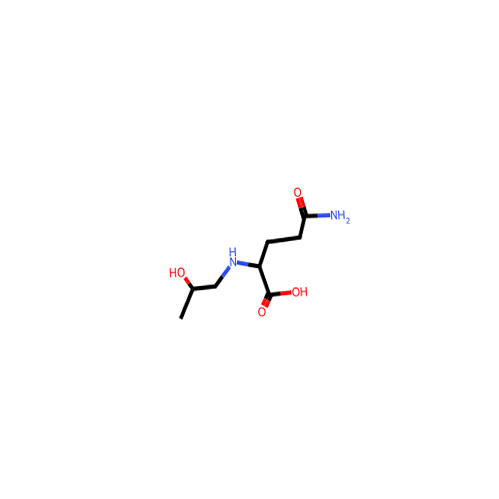 CC(O)CNC(CCC(N)=O)C(=O)O